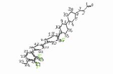 C=CCCC1CCC(C2CCC(c3ccc(-c4ccc(-c5ccc(CC)c(F)c5F)cc4)cc3F)CC2)CC1